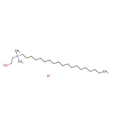 CCCCCCCCCCCCCCCCCCC[N+](C)(C)CCO.[Br-]